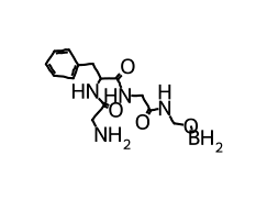 BOCNC(=O)CNC(=O)C(Cc1ccccc1)NC(=O)CN